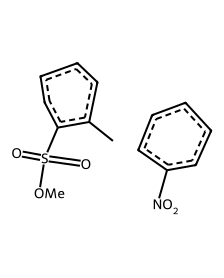 COS(=O)(=O)c1ccccc1C.O=[N+]([O-])c1ccccc1